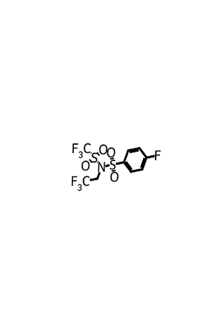 O=S(=O)(c1ccc(F)cc1)N(CC(F)(F)F)S(=O)(=O)C(F)(F)F